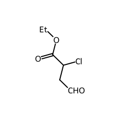 CCOC(=O)C(Cl)CC=O